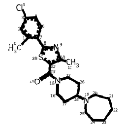 Cc1cc(Cl)ccc1-c1nc(C)c(C(=O)N2CCC(N3CCCCCC3)CC2)s1